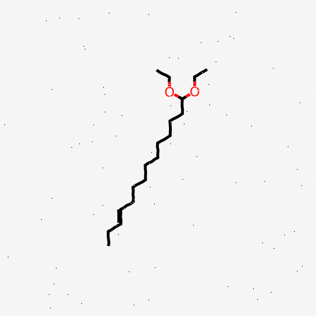 CCC=CCCCCCCCCCC(OCC)OCC